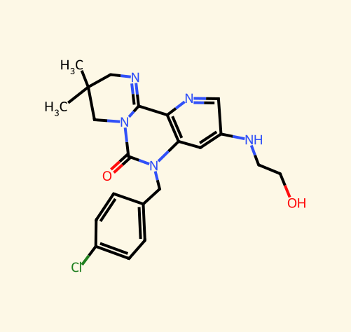 CC1(C)CN=C2c3ncc(NCCO)cc3N(Cc3ccc(Cl)cc3)C(=O)N2C1